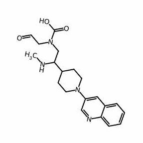 CNC(CN(CC=O)C(=O)O)C1CCN(c2cnc3ccccc3c2)CC1